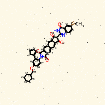 CSc1ccc2nc(C3C(=O)c4cc5cc6c(cc5cc4C3=O)C(=O)N(c3ccc(OCC4CCCCC4)cc3C3=CC=CC3)C6=O)[nH]c(=O)c2c1